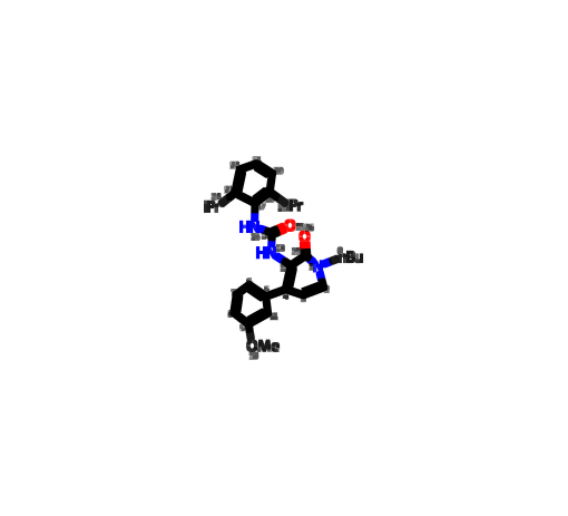 CCCCn1ccc(-c2cccc(OC)c2)c(NC(=O)Nc2c(C(C)C)cccc2C(C)C)c1=O